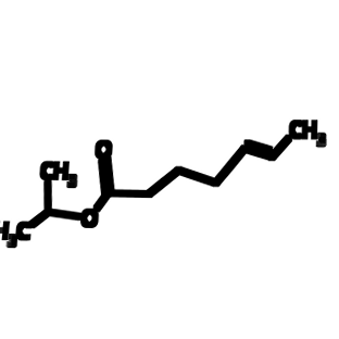 C/C=C/CCCC(=O)OC(C)C